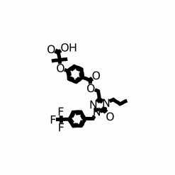 CCCn1c(COC(=O)c2ccc(OC(C)(C)C(=O)O)cc2)nn(Cc2ccc(C(F)(F)F)cc2)c1=O